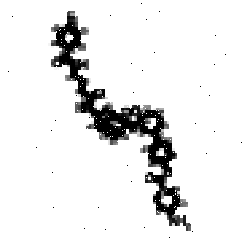 NC1CCN(C(=O)Oc2ccc(C3CCC[C@@]4(C3)CC3(OO4)C4CC5CC3CC(NC(=O)CCCNC(=O)c3ccc(F)cc3)(C5)C4)cc2)CC1